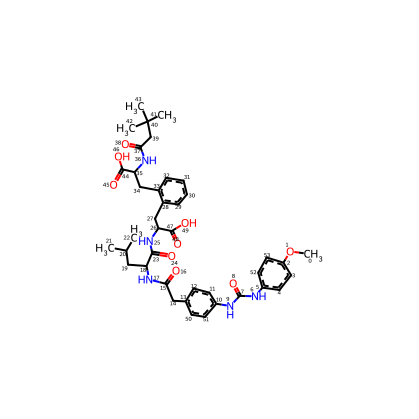 COc1ccc(NC(=O)Nc2ccc(CC(=O)NC(CC(C)C)C(=O)NC(Cc3ccccc3CC(NC(=O)CC(C)(C)C)C(=O)O)C(=O)O)cc2)cc1